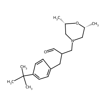 C[C@@H]1CN(CC(C=O)Cc2ccc(C(C)(C)C)cc2)C[C@H](C)O1